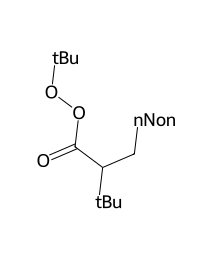 CCCCCCCCCCC(C(=O)OOC(C)(C)C)C(C)(C)C